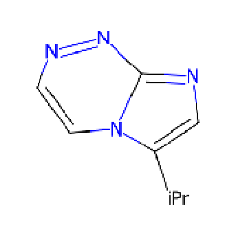 CC(C)c1cnc2nnccn12